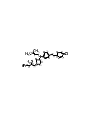 CC(C)=CCN(c1ccc(CCc2ccc(Cl)cc2)cc1)C1CCN(CC(N)CC(C)C)C1